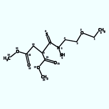 CCOCCN(S)C(=S)C(CC(=O)OC)C(=O)OC